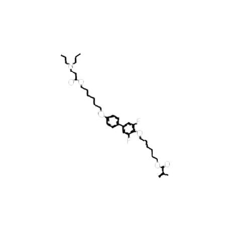 C=C(C)C(=O)OCCCCCCOc1c(F)cc(-c2ccc(OCCCCCCOC(=O)CCN(CCC)CCC)cc2)cc1F